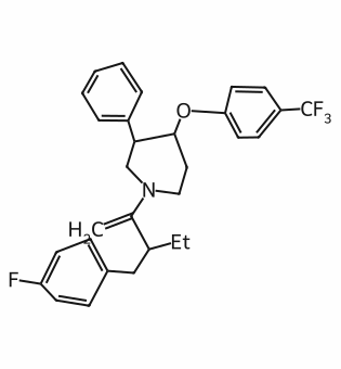 C=C(C(CC)Cc1ccc(F)cc1)N1CCC(Oc2ccc(C(F)(F)F)cc2)C(c2ccccc2)C1